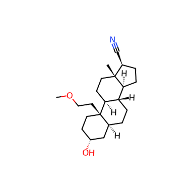 COCC[C@]12CC[C@@H](O)C[C@@H]1CC[C@H]1[C@@H]3CC[C@H](C#N)[C@@]3(C)CC[C@@H]12